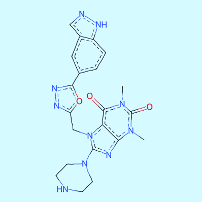 Cn1c(=O)c2c(nc(N3CCNCC3)n2Cc2nnc(-c3ccc4[nH]ncc4c3)o2)n(C)c1=O